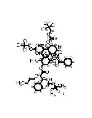 CCCCO[C@@H](C(=O)OC1C[C@@]2(O)[C@@H](OC(=O)c3ccccc3)C34[C@@H]5CO[C@@H]5C[C@H](OC(=O)OCC(Cl)(Cl)Cl)[C@@]3(C)C(=O)[C@H](OC(=O)OCC(Cl)(Cl)Cl)C(=C1C)[C@]42C)[C@@H](NC(=O)OC(C)(C)C)c1ccccc1